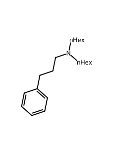 CCCCCCN(CCCCCC)CCCc1ccccc1